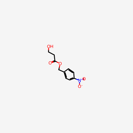 O=C(CCO)OCc1ccc([N+](=O)[O-])cc1